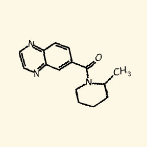 CC1CCCCN1C(=O)c1ccc2nccnc2c1